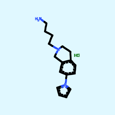 Cl.NCCCCN1CCc2ccc(-n3cccc3)cc2C1